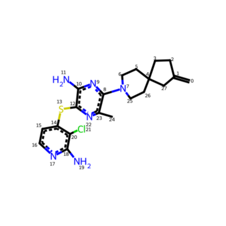 C=C1CCC2(CCN(c3nc(N)c(Sc4ccnc(N)c4Cl)nc3C)CC2)C1